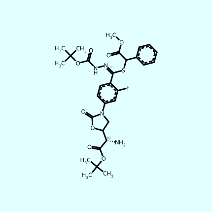 COC(=O)C(S/C(=N/NC(=O)OC(C)(C)C)c1ccc(N2CC([C@H](N)C(=O)OC(C)(C)C)OC2=O)cc1F)c1ccccc1